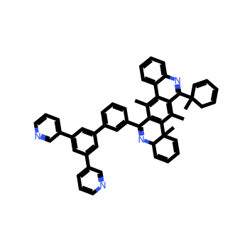 Cc1c2c(c(C)c3c1c(C1(C)C=CC=CC1)nc1ccccc13)C(c1cccc(-c3cc(-c4cccnc4)cc(-c4cccnc4)c3)c1)=NC1C=CC=CC21C